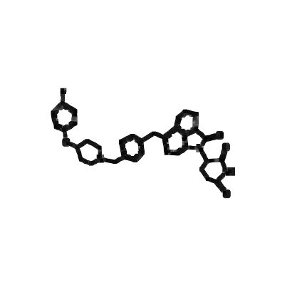 O=C1CCC(N2C(=O)c3cccc4c(Cc5ccc(CN6CCC(Oc7ccc(F)cc7)CC6)cc5)ccc2c34)C(=O)N1